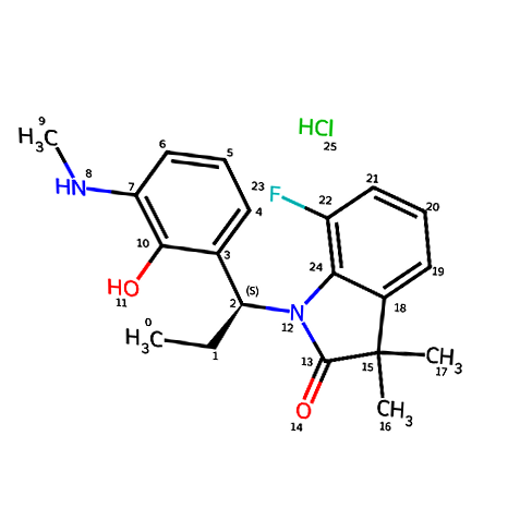 CC[C@@H](c1cccc(NC)c1O)N1C(=O)C(C)(C)c2cccc(F)c21.Cl